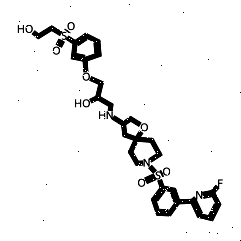 O=S(=O)(CCO)c1cccc(OCC(O)CNC2COC3(CCN(S(=O)(=O)c4cccc(-c5cccc(F)n5)c4)CC3)C2)c1